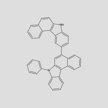 c1ccc(-n2c3ccccc3c3c4ccccc4c(-c4ccc5[nH]c6ccc7ccccc7c6c5c4)cc32)cc1